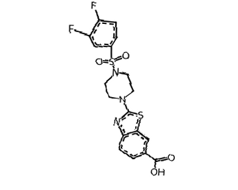 O=C(O)c1ccc2nc(N3CCN(S(=O)(=O)c4ccc(F)c(F)c4)CC3)sc2c1